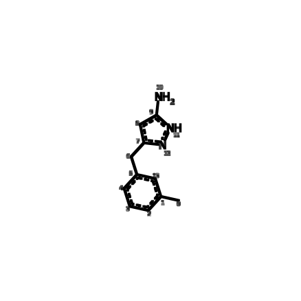 Cc1cccc(Cc2cc(N)[nH]n2)c1